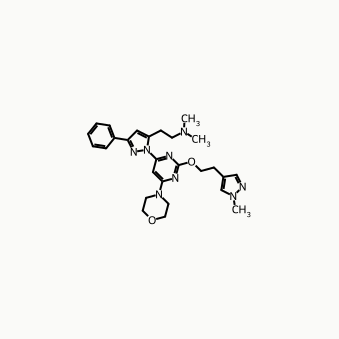 CN(C)CCc1cc(-c2ccccc2)nn1-c1cc(N2CCOCC2)nc(OCCc2cnn(C)c2)n1